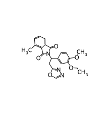 CCOc1cc(C(Cc2nnco2)N2C(=O)c3cccc(C)c3C2=O)ccc1OC